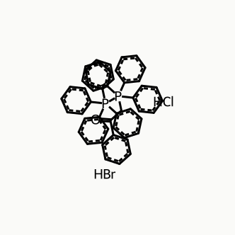 Br.Cl.O=C(CP(c1ccccc1)(c1ccccc1)(c1ccccc1)P(c1ccccc1)(c1ccccc1)(c1ccccc1)c1ccccc1)c1ccccc1